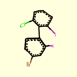 Clc1cccc(I)c1-c1ccc(Br)cc1I